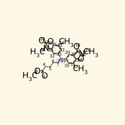 COC(=O)CCC/C=C(/c1cc(C)c2on(C)c(=O)c2c1)c1cc(C)c2oc(=O)n(C)c2c1